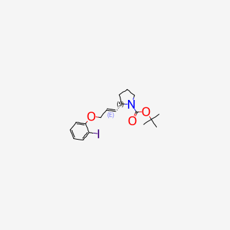 CC(C)(C)OC(=O)N1CCC[C@H]1/C=C/COc1ccccc1I